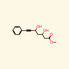 COC(=O)CC(O)CC(O)C#Cc1ccccc1